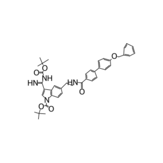 CC(C)(C)OC(=O)NC(=N)c1cn(C(=O)OC(C)(C)C)c2ccc(CCNC(=O)c3ccc(-c4ccc(OCc5ccccc5)cc4)cc3)cc12